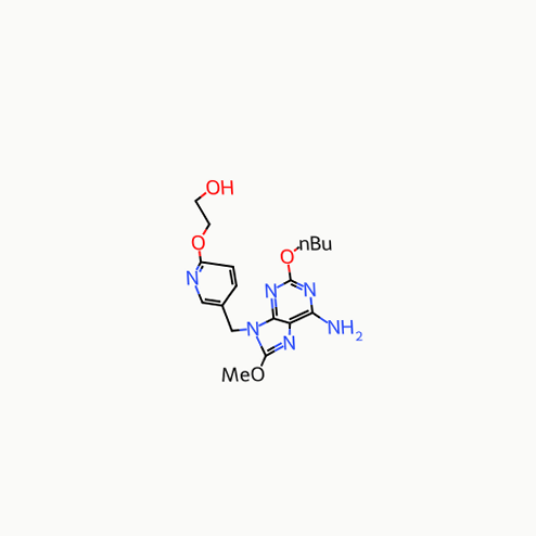 CCCCOc1nc(N)c2nc(OC)n(Cc3ccc(OCCO)nc3)c2n1